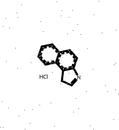 C1=Nc2ccc3ccccc3c2C1.Cl